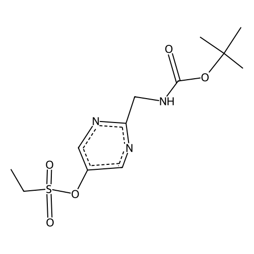 CCS(=O)(=O)Oc1cnc(CNC(=O)OC(C)(C)C)nc1